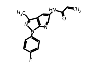 C=CC(=O)Nc1cnc2c(c1)c(C)nn2-c1ccc(F)cc1